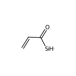 C=CC(=O)[SiH]